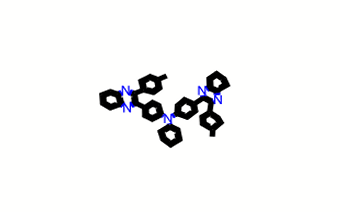 Cc1ccc(-c2nc3ccccc3nc2-c2ccc(N(c3ccccc3)c3ccc(-c4nc5ccccc5nc4-c4ccc(C)cc4)cc3)cc2)cc1